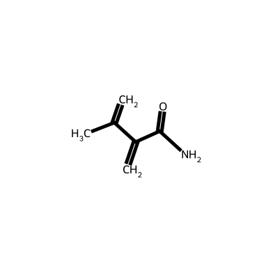 C=C(C)C(=C)C(N)=O